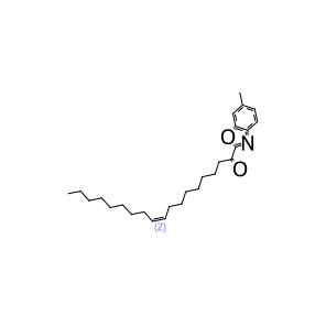 CCCCCCCC/C=C\CCCCCCCC(=O)c1nc2ccc(C)cc2o1